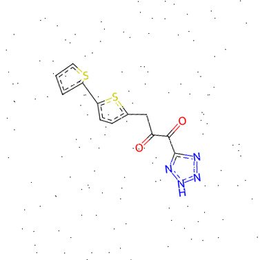 O=C(Cc1ccc(-c2cccs2)s1)C(=O)c1nn[nH]n1